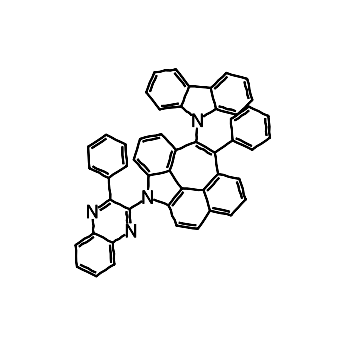 c1ccc(C2=C(n3c4ccccc4c4ccccc43)c3cccc4c3c3c5c2cccc5ccc3n4-c2nc3ccccc3nc2-c2ccccc2)cc1